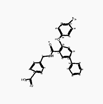 O=C(O)c1ccc(CNC(=O)c2cc(-c3ccccc3)ccc2Oc2ccc(F)cc2)cc1